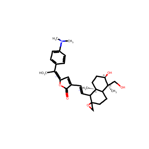 CN(C)c1ccc(/C(C(=O)O)=C2C=C(/C=C/C3C4(CCC5[C@]3(C)CC[C@@H](O)[C@@]5(C)CO)CO4)C(=O)O\2)cc1